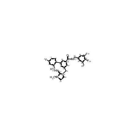 Cc1cc(F)ccc1-c1cc(Cn2ccn(C)c2=N)cc(C(=O)NCc2cc(F)c(F)c(F)c2)c1